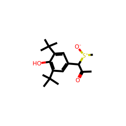 CC(=O)C(c1cc(C(C)(C)C)c(O)c(C(C)(C)C)c1)[S+](C)[O-]